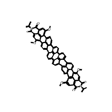 COc1cc2c3c(cc(OC)c4c5ccc6c7ccc8c9ccc%10c%11ccc%12c%13c(OC)cc%14c%15c(cc(OC)c(c%16ccc(c%17ccc(c%18ccc(c%19ccc(c1c34)c5c%196)c7c%188)c9c%17%10)c%11c%16%12)c%15%13)C(=O)N(C(C)C)C%14=O)C(=O)N(C(C)C)C2=O